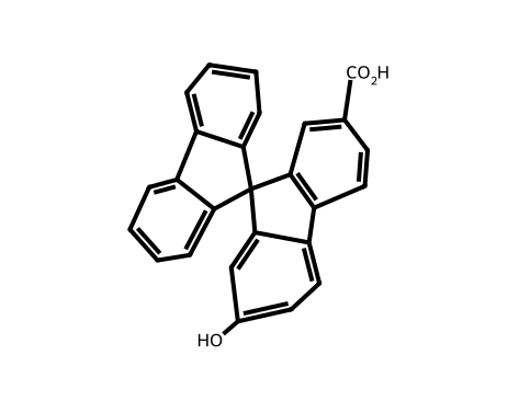 O=C(O)c1ccc2c(c1)C1(c3ccccc3-c3ccccc31)c1cc(O)ccc1-2